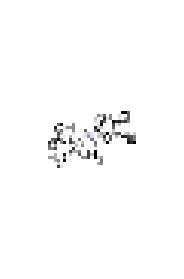 CC1(C)C(/C=C/C(=O)OC(C#N)=C(Cl)Cl)C1C(=O)O